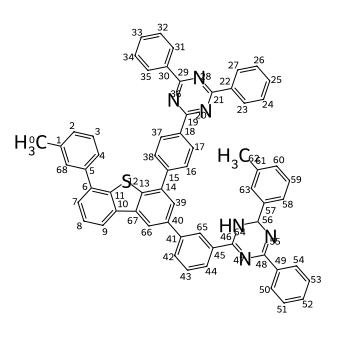 Cc1cccc(-c2cccc3c2sc2c(-c4ccc(-c5nc(-c6ccccc6)nc(-c6ccccc6)n5)cc4)cc(-c4cccc(C5=NC(c6ccccc6)=NC(c6cccc(C)c6)N5)c4)cc23)c1